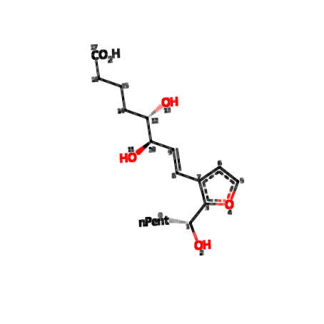 CCCCC[C@@H](O)c1occc1/C=C/[C@@H](O)[C@@H](O)CCCC(=O)O